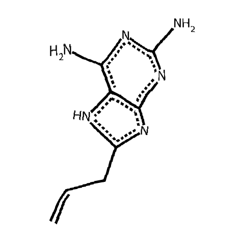 C=CCc1nc2nc(N)nc(N)c2[nH]1